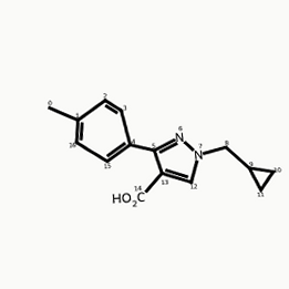 Cc1ccc(-c2nn(CC3CC3)cc2C(=O)O)cc1